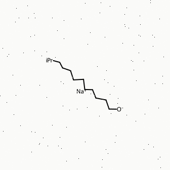 CC(C)CCCCCCCCCC[O-].[Na+]